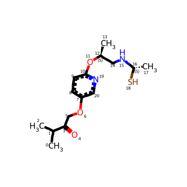 CC(C)C(=O)COc1ccc(O[C@@H](C)CN[C@H](C)S)nc1